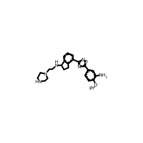 CC(C)Oc1ccc(-c2nc(-c3cccc4c3CCC4NCCN3CCNCC3)no2)cc1N